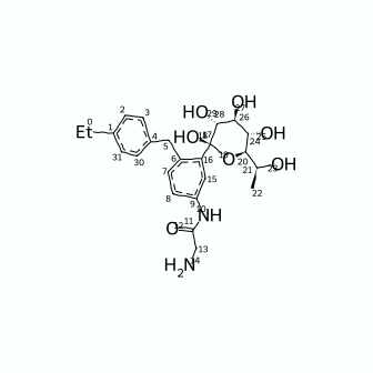 CCc1ccc(Cc2ccc(NC(=O)CN)cc2[C@@]2(O)O[C@H]([C@H](C)O)[C@@H](O)[C@H](O)[C@H]2O)cc1